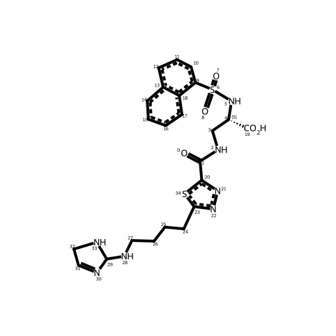 O=C(NC[C@H](NS(=O)(=O)c1cccc2ccccc12)C(=O)O)c1nnc(CCCCNC2N=CCN2)s1